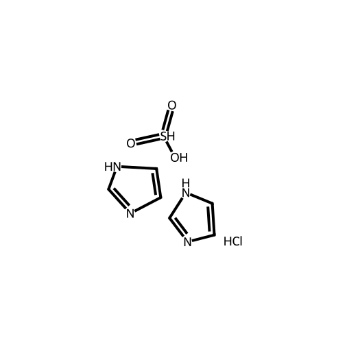 Cl.O=[SH](=O)O.c1c[nH]cn1.c1c[nH]cn1